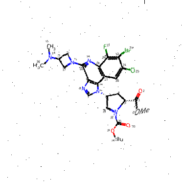 COC(=O)[C@H]1C[C@@H](n2cnc3c(N4CC(N(C)C)C4)nc4c(F)c(Br)c(Cl)cc4c32)CN1C(=O)OC(C)(C)C